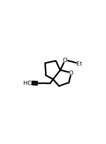 C#CCC12CCCC1(OCC)OCC2